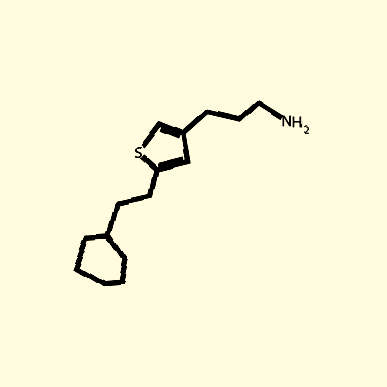 NCCCc1csc(CCC2CCCCC2)c1